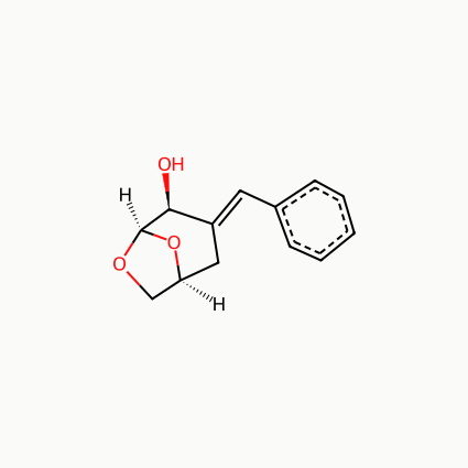 O[C@H]1/C(=C/c2ccccc2)C[C@H]2CO[C@@H]1O2